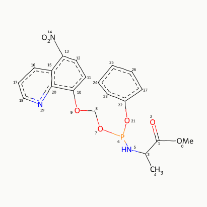 COC(=O)C(C)NP(OCOc1ccc([N+](=O)[O-])c2cccnc12)Oc1ccccc1